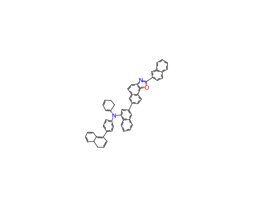 C1=CCCC(N(c2ccc(C3=C4C=CC=CC4CC=C3)cc2)c2cc(-c3ccc4c(ccc5nc(-c6ccc7ccccc7c6)oc54)c3)cc3ccccc23)=C1